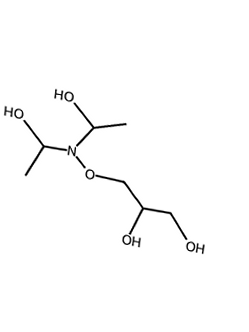 CC(O)N(OCC(O)CO)C(C)O